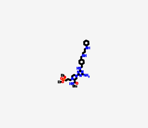 CCOP(=O)(CCCN1CCN(c2nc(N)nc(NCC3CCC(CNCCCNC4CCCCC4)CC3)n2)C[C@H]1C(=O)NC(C)(C)C)OCC